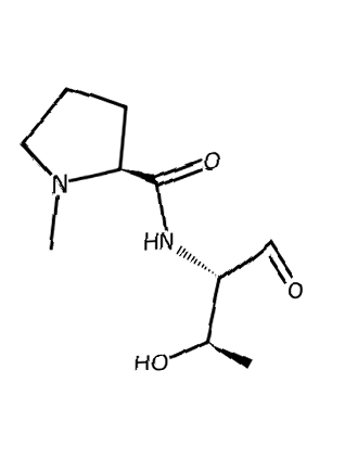 C[C@@H](O)[C@@H](C=O)NC(=O)[C@@H]1CCCN1C